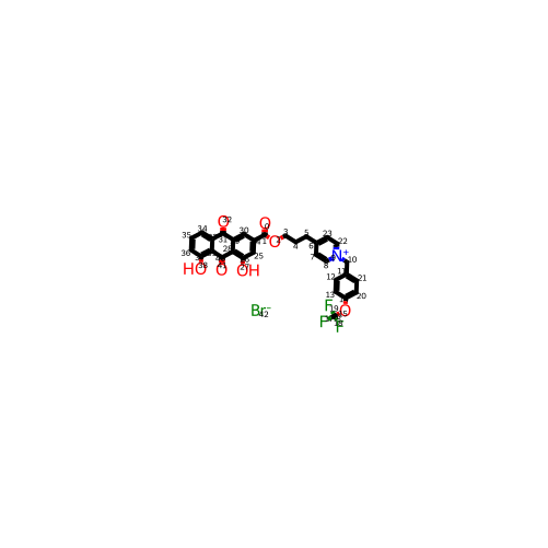 O=C(OCCCc1cc[n+](Cc2ccc(OC(F)(F)F)cc2)cc1)c1cc(O)c2c(c1)C(=O)c1cccc(O)c1C2=O.[Br-]